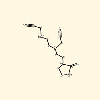 N#CCNCCN(CC#N)CCN1CCNC1=O